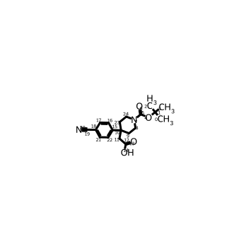 CC(C)(C)OC(=O)N1CCC(CC(=O)O)(c2ccc(C#N)cc2)CC1